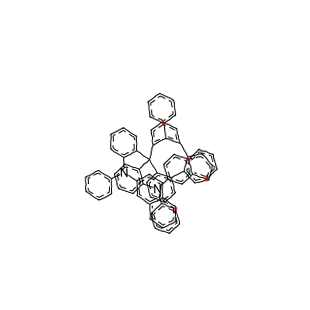 c1ccc(-c2c3cccc2C(c2ccccc2N(c2ccccc2)c2ccc4ccccc4c2)(c2ccccc2N(c2ccccc2)c2ccc4ccccc4c2)c2ccccc2-c2ccccc2-3)cc1